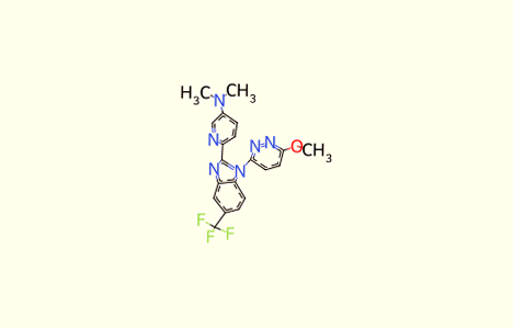 COc1ccc(-n2c(-c3ccc(N(C)C)cn3)nc3cc(C(F)(F)F)ccc32)nn1